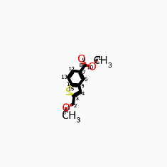 COCc1cc2cc(C(=O)OC)ccc2s1